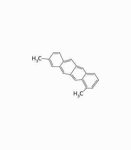 Cc1ccc2cc3cc4cccc(C)c4cc3cc2c1